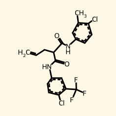 C=CCC(C(=O)Nc1ccc(Cl)c(C)c1)C(=O)Nc1ccc(Cl)c(C(F)(F)F)c1